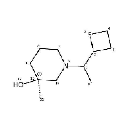 CC(C1CCS1)N1CCC[C@](C)(O)C1